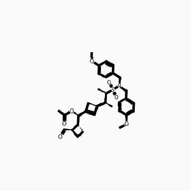 COc1ccc(CN(Cc2ccc(OC)cc2)S(=O)(=O)[C@H](C)[C@@H](C)[C@H]2C=C([C@H](OC(C)=O)[C@@H]3CC[C@H]3C=O)C2)cc1